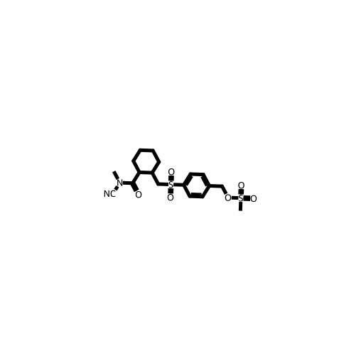 CN(C#N)C(=O)C1CCCCC1CS(=O)(=O)c1ccc(COS(C)(=O)=O)cc1